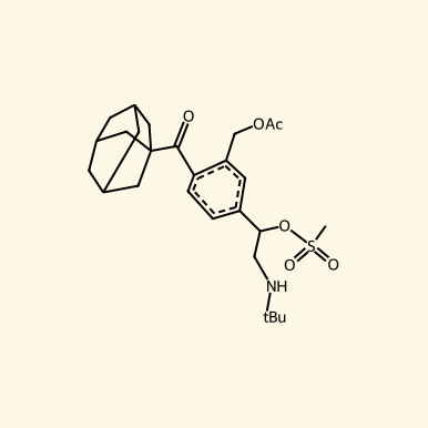 CC(=O)OCc1cc(C(CNC(C)(C)C)OS(C)(=O)=O)ccc1C(=O)C12CC3CC(CC(C3)C1)C2